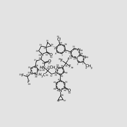 Cc1cn2cc(-c3ccc([C@H]4C[C@@]45CCN([C@H](Cc4cnn(C(F)F)c4)C(=O)NC(C)(C)Cn4nc(C(F)(F)F)cc4-c4ccn(C6CC6)c(=O)c4)C5=O)c(Cl)c3)cnc2n1